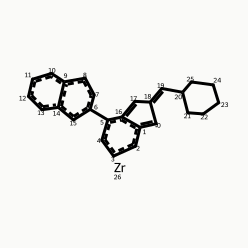 [C]1=c2cccc(-c3ccc4ccccc4c3)c2=CC1=CC1CCCCC1.[Zr]